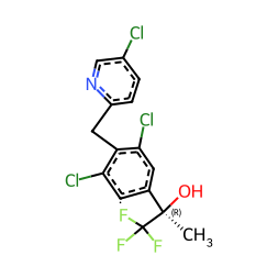 C[C@@](O)(c1[c]c(Cl)c(Cc2ccc(Cl)cn2)c(Cl)c1)C(F)(F)F